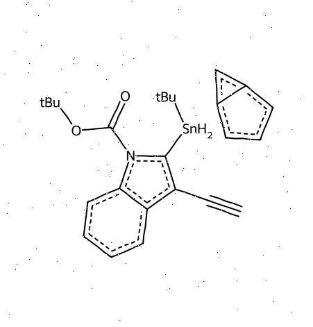 C#Cc1[c]([SnH2][C](C)(C)C)n(C(=O)OC(C)(C)C)c2ccccc12.c1cc2cc-2c1